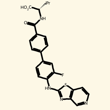 CC(C)[C@H](NC(=O)c1ccc(-c2ccc(Nc3nc4cnccc4s3)c(F)c2)cc1)C(=O)O